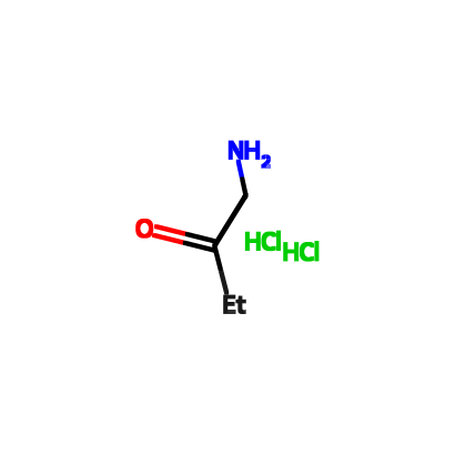 CCC(=O)CN.Cl.Cl